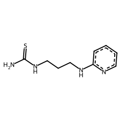 NC(=S)NCCCNc1ccccn1